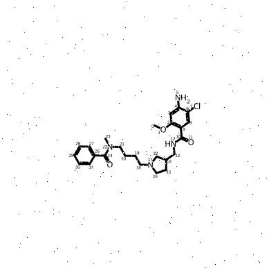 COc1cc(N)c(Cl)cc1C(=O)NCC1CCN(CCCCN(C)C(=O)c2ccccc2)C1